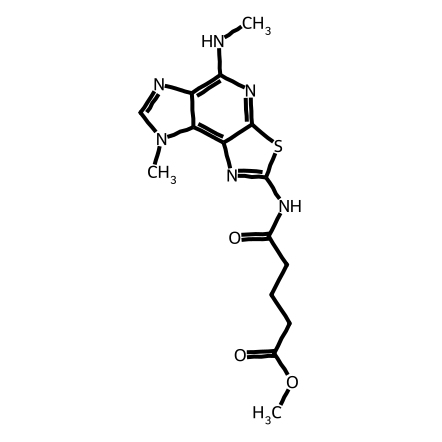 CNc1nc2sc(NC(=O)CCCC(=O)OC)nc2c2c1ncn2C